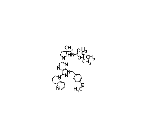 COc1ccc(Cn2nc(N3CCCc4ncccc43)c3ncc(N4CCC(C)(CNC(=O)OC(C)(C)C)C4)nc32)cc1